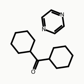 O=C(C1CCCCC1)C1CCCCC1.c1cnccn1